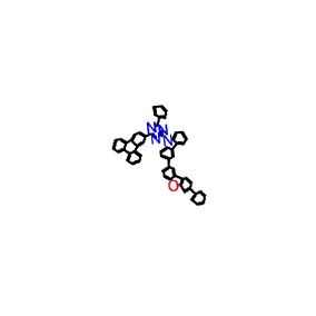 c1ccc(-c2ccc3c(c2)oc2ccc(-c4ccc5c(c4)c4ccccc4n5-c4nc(-c5ccccc5)nc(-c5ccc6c7ccccc7c7ccccc7c6c5)n4)cc23)cc1